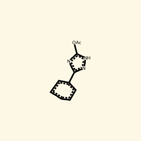 CC(=O)Oc1nc(-c2ccccc2)n[nH]1